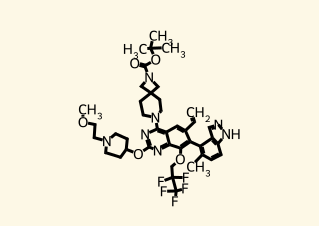 C=Cc1cc2c(N3CCC4(CC3)CN(C(=O)OC(C)(C)C)C4)nc(OC3CCN(CCOC)CC3)nc2c(OCC(F)(F)C(F)(F)F)c1-c1c(C)ccc2[nH]ncc12